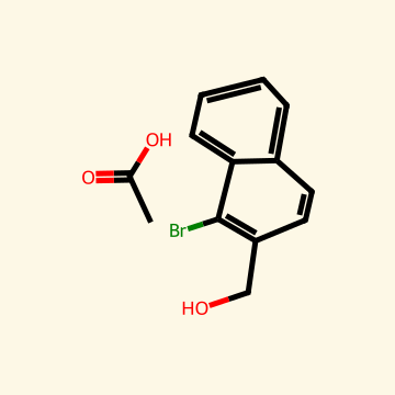 CC(=O)O.OCc1ccc2ccccc2c1Br